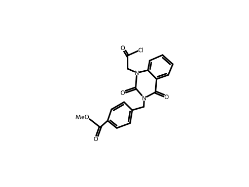 COC(=O)c1ccc(Cn2c(=O)c3ccccc3n(CC(=O)Cl)c2=O)cc1